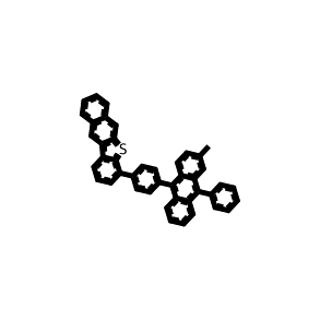 Cc1ccc2c(-c3ccc(-c4cccc5c4sc4cc6ccccc6cc45)cc3)c3ccccc3c(-c3ccccc3)c2c1